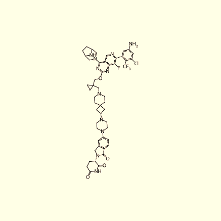 Nc1cc(Cl)c(C(F)(F)F)c(-c2ncc3c(N4CC5CCC(C4)N5)nc(OCC4(CN5CCC6(CC5)CC(N5CCN(c7ccc8c(c7)CN([C@H]7CCC(=O)NC7=O)C8=O)CC5)C6)CC4)nc3c2F)c1